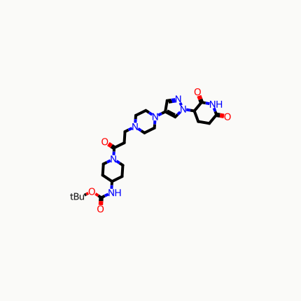 CC(C)(C)OC(=O)NC1CCN(C(=O)CCN2CCN(c3cnn(C4CCC(=O)NC4=O)c3)CC2)CC1